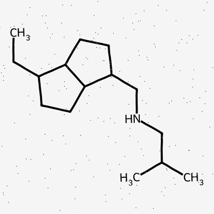 CCC1CCC2C(CNCC(C)C)CCC12